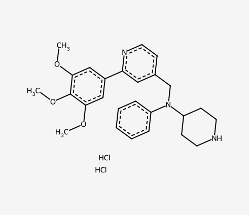 COc1cc(-c2cc(CN(c3ccccc3)C3CCNCC3)ccn2)cc(OC)c1OC.Cl.Cl